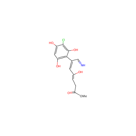 COC(=O)C/C=C(O)/C=C(\C=N)c1c(O)cc(O)c(Cl)c1O